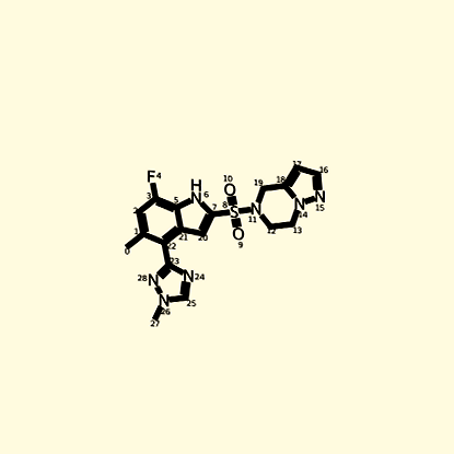 Cc1cc(F)c2[nH]c(S(=O)(=O)N3CCn4nccc4C3)cc2c1-c1ncn(C)n1